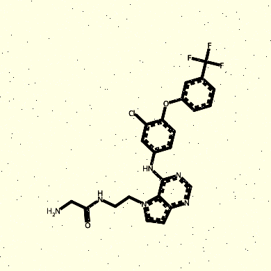 NCC(=O)NCCn1ccc2ncnc(Nc3ccc(Oc4cccc(C(F)(F)F)c4)c(Cl)c3)c21